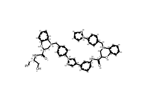 CC(C)C[C@@H](CO)NC(=O)[C@@H]1CN(Cc2ccc(-n3cc(-c4cccc(NC(=O)C5CN(Cc6ccc(-n7cccn7)cc6)c6ccccc6O5)c4)cn3)cc2)c2ccccc2O1